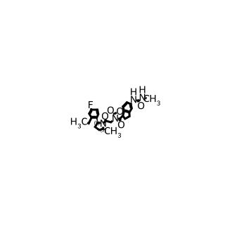 CCc1cc(F)ccc1[C@@H]1CC[C@H](C)N1C(=O)CN1C(=O)OC2(CCc3cc(NC(=O)NC)ccc32)C1=O